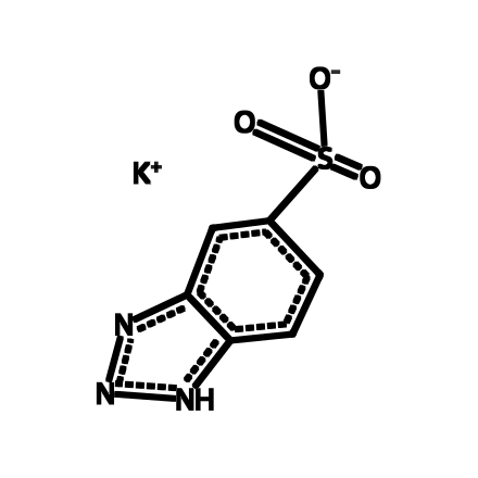 O=S(=O)([O-])c1ccc2[nH]nnc2c1.[K+]